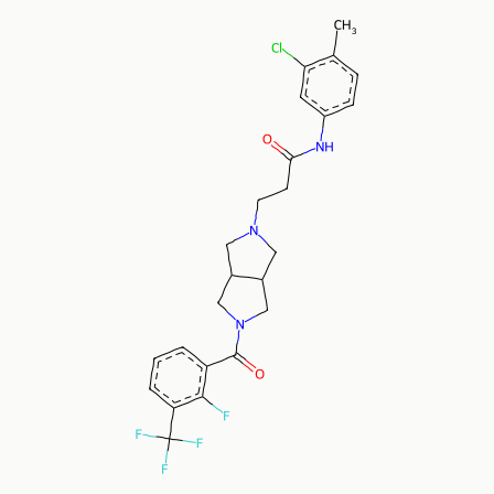 Cc1ccc(NC(=O)CCN2CC3CN(C(=O)c4cccc(C(F)(F)F)c4F)CC3C2)cc1Cl